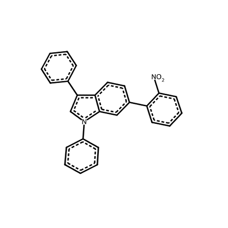 O=[N+]([O-])c1ccccc1-c1ccc2c(-c3ccccc3)cn(-c3ccccc3)c2c1